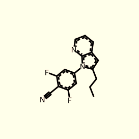 CCCc1cc2cccnc2n1-c1cc(F)c(C#N)c(F)c1